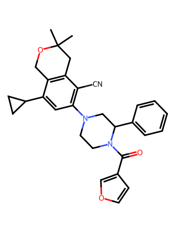 CC1(C)Cc2c(C#N)c(N3CCN(C(=O)c4ccoc4)C(c4ccccc4)C3)cc(C3CC3)c2CO1